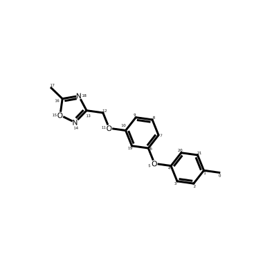 Cc1ccc(Oc2cccc(OCc3noc(C)n3)c2)cc1